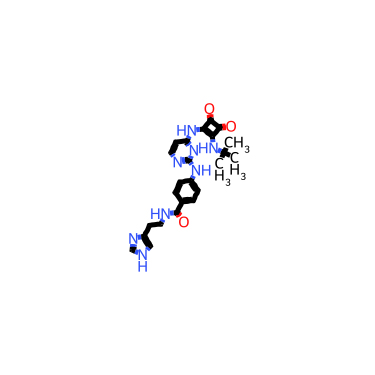 CC(C)(C)Nc1c(Nc2ccnc(Nc3ccc(C(=O)NCCc4c[nH]cn4)cc3)n2)c(=O)c1=O